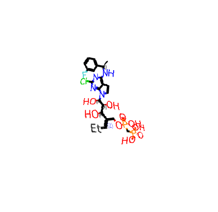 CC/C=C(/COP(=O)(O)CP(=O)(O)O)[C@@H](O)[C@H](O)[C@@H](O)n1ccc2c(N[C@H](C)c3cccc(F)c3)nc(Cl)nc21